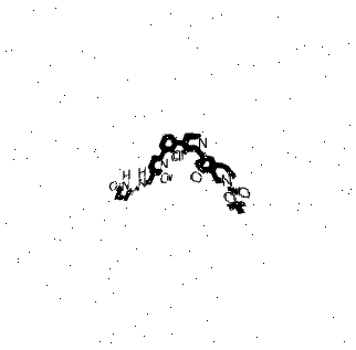 COc1cc(-c2nccc(-c3cccc(-c4ccc(CNC[C@@H]5CCC(=O)N5)c(OC)n4)c3Cl)c2Cl)cc2c1CN(C(=O)OC(C)(C)C)CC2